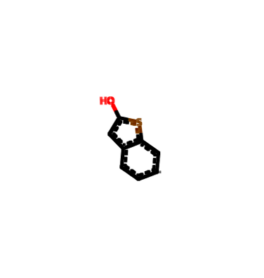 Oc1cc2cc[c]cc2s1